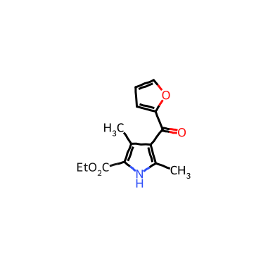 CCOC(=O)c1[nH]c(C)c(C(=O)c2ccco2)c1C